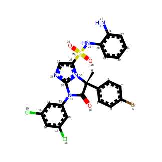 C[C@@]1(c2ccc(Br)cc2)C(=O)N(c2cc(Cl)cc(Cl)c2)c2ncc(S(=O)(=O)Nc3ccccc3N)n21